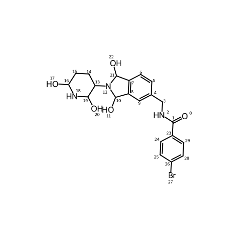 O=C(NCc1ccc2c(c1)C(O)N(C1CCC(O)NC1O)C2O)c1ccc(Br)cc1